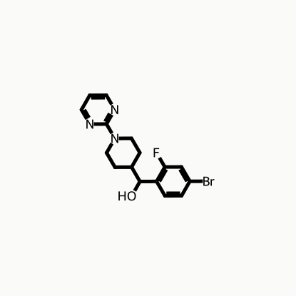 OC(c1ccc(Br)cc1F)C1CCN(c2ncccn2)CC1